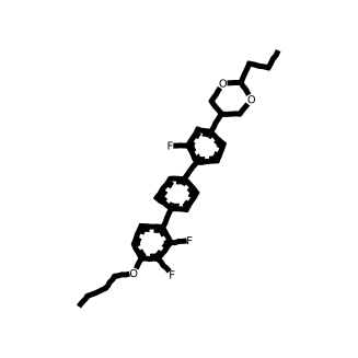 CCCCOc1ccc(-c2ccc(-c3ccc(C4COC(CCC)OC4)cc3F)cc2)c(F)c1F